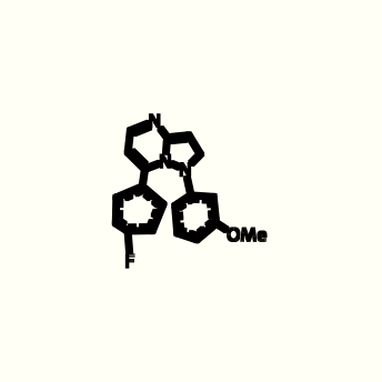 COc1cccc(N2CC=C3N=CC=C(c4ccc(F)cc4)N32)c1